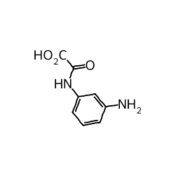 Nc1cccc(NC(=O)C(=O)O)c1